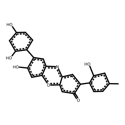 Cc1ccc(-c2cc3nc4cc(-c5ccc(O)cc5O)c(O)cc4oc-3cc2=O)c(O)c1